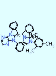 Cc1cc(C)c(N2C=CN3C([C@H]4c5ccccc5N5c6nccnc6N(c6ccccc6)C45)c4ccccc4C23C)c(C)c1